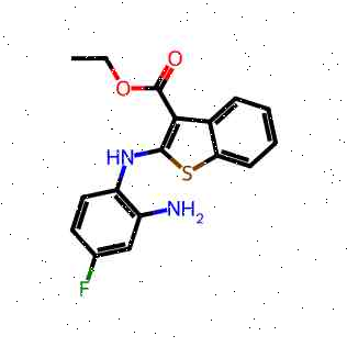 CCOC(=O)c1c(Nc2ccc(F)cc2N)sc2ccccc12